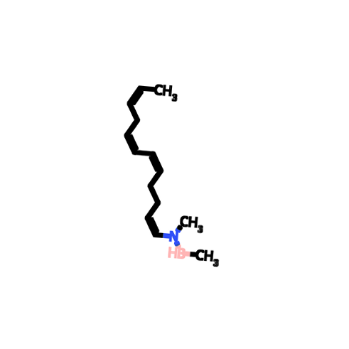 CBN(C)/C=C\CC/C=C\C=C/C/C=C\C